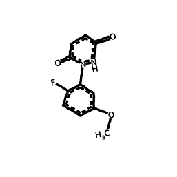 COc1ccc(F)c(-n2[nH]c(=O)ccc2=O)c1